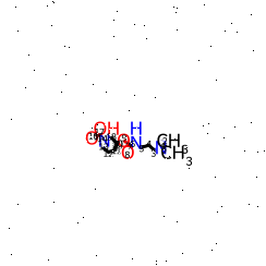 CN(C)CCCNC(=O)O[C@@H]1CCCN(C(=O)O)C1